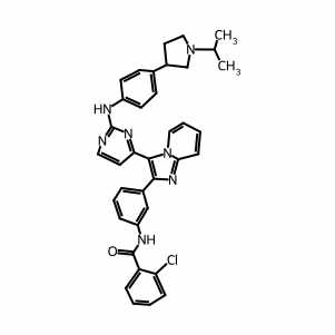 CC(C)N1CCC(c2ccc(Nc3nccc(-c4c(-c5cccc(NC(=O)c6ccccc6Cl)c5)nc5ccccn45)n3)cc2)C1